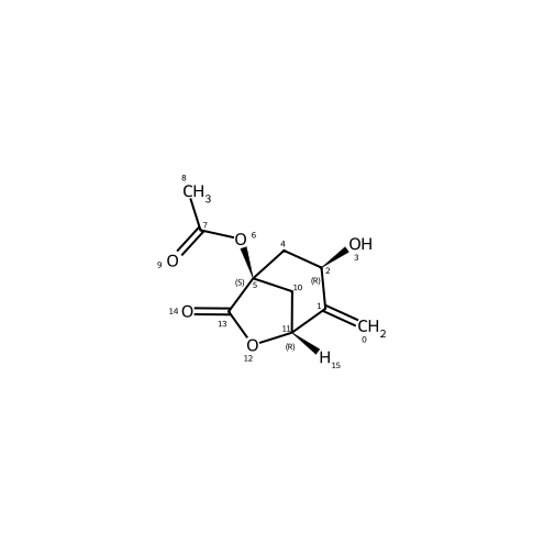 C=C1[C@H](O)C[C@]2(OC(C)=O)C[C@H]1OC2=O